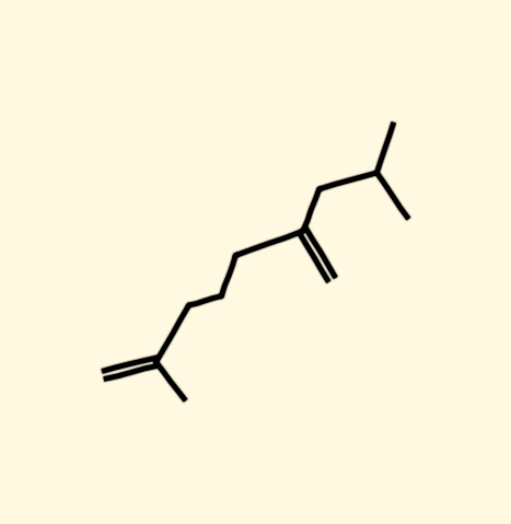 C=C(C)CCCC(=C)CC(C)C